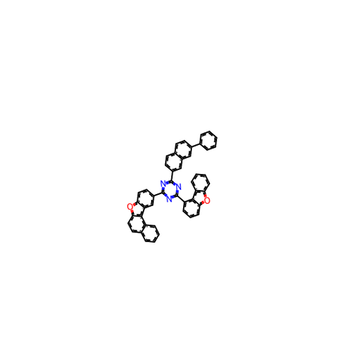 c1ccc(-c2ccc3ccc(-c4nc(-c5ccc6oc7ccc8ccccc8c7c6c5)nc(-c5cccc6oc7ccccc7c56)n4)cc3c2)cc1